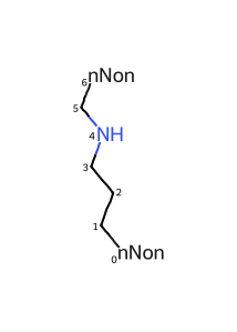 CCCCCCCCCCCCNCCCCCCCCCC